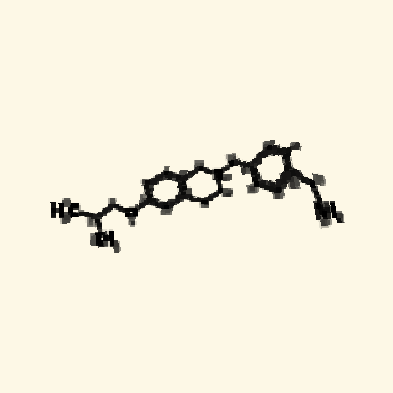 CC(C)COc1ccc2c(c1)CCN(Cc1ccc(CN)cc1)C2